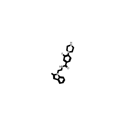 Cc1cc2ccccc2n1CCNC(=O)c1ccc(N2CCNCC2)c(F)c1